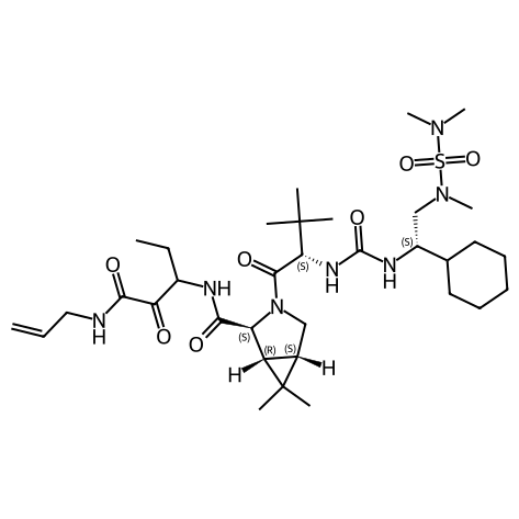 C=CCNC(=O)C(=O)C(CC)NC(=O)[C@@H]1[C@@H]2[C@H](CN1C(=O)[C@@H](NC(=O)N[C@H](CN(C)S(=O)(=O)N(C)C)C1CCCCC1)C(C)(C)C)C2(C)C